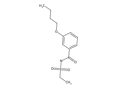 CCCCOc1cccc(C(=O)[N]S(=O)(=O)CC)c1